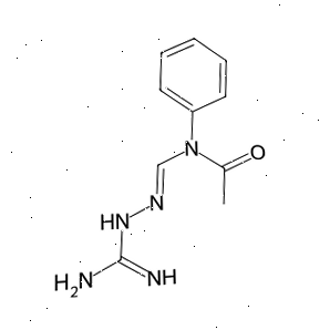 CC(=O)N(C=NNC(=N)N)c1ccccc1